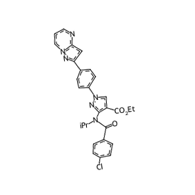 CCOC(=O)c1cn(-c2ccc(-c3cc4ncccn4n3)cc2)nc1N(C(=O)c1ccc(Cl)cc1)C(C)C